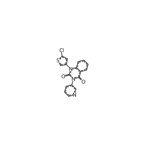 O=c1c2ccccc2n(-c2csc(Cl)c2)c(=O)n1-c1cccnc1